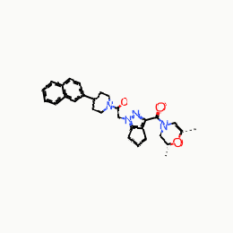 C[C@@H]1CN(C(=O)c2nn(CC(=O)N3CCC(c4ccc5ccccc5c4)CC3)c3c2CCC3)C[C@H](C)O1